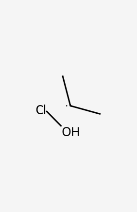 C[CH]C.OCl